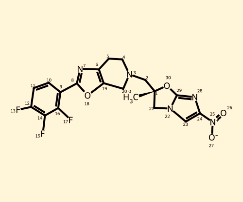 C[C@]1(CN2CCc3nc(-c4ccc(F)c(F)c4F)oc3C2)Cn2cc([N+](=O)[O-])nc2O1